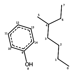 CCCCC(C)CC.Oc1ccccc1